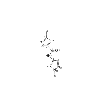 Cc1csc(C(=O)Nc2cnn(C)c2)c1